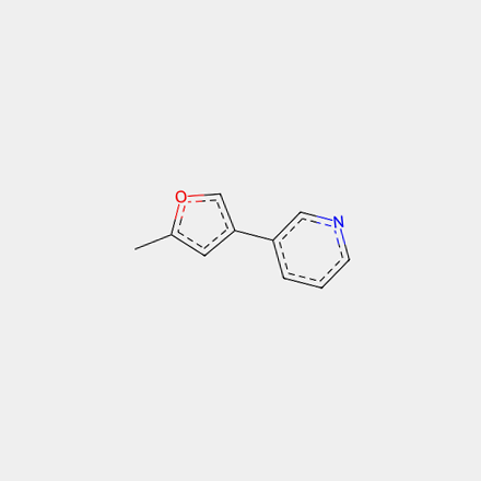 Cc1cc(-c2cccnc2)co1